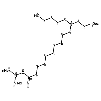 CCCCCCCCCCCCN(CCCCO)CCCCCCCCCC(=O)ON(CCCCCC)CCCCCC